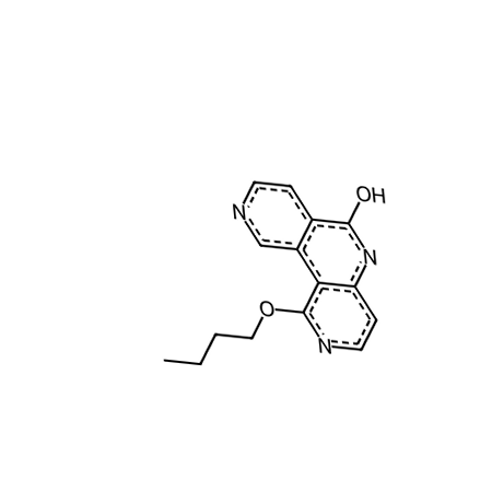 CCCCOc1nccc2nc(O)c3ccncc3c12